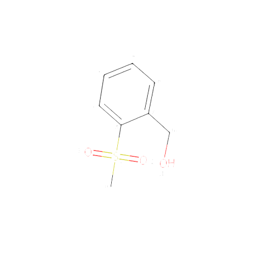 CS(=O)(=O)c1ccccc1CO